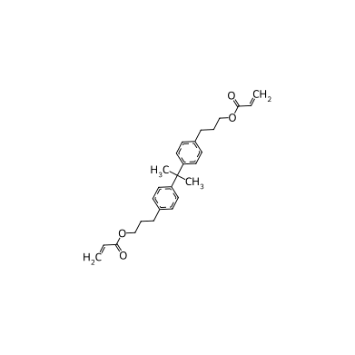 C=CC(=O)OCCCc1ccc(C(C)(C)c2ccc(CCCOC(=O)C=C)cc2)cc1